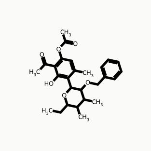 CCC1OC(c2c(C)cc(OC(C)=O)c(C(C)=O)c2O)C(OCc2ccccc2)C(C)C1C